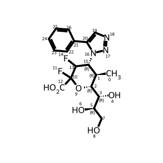 C[C@H]1[C@H]([C@H](O)[C@H](O)CO)OC(F)(C(=O)O)C(F)[C@@H]1n1nncc1-c1ccccc1